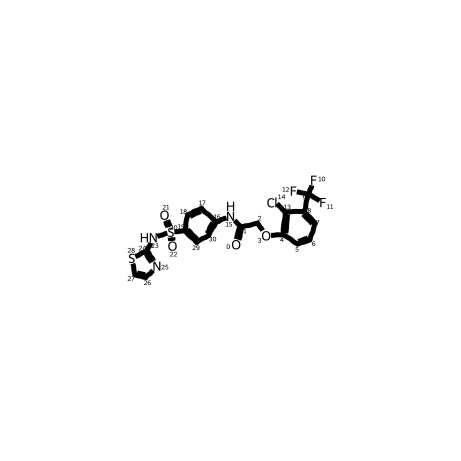 O=C(COc1cccc(C(F)(F)F)c1Cl)Nc1ccc(S(=O)(=O)Nc2nccs2)cc1